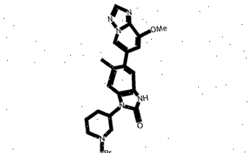 CCCN1CCCC(n2c(=O)[nH]c3cc(-c4cc(OC)c5ncnn5c4)c(C)cc32)C1